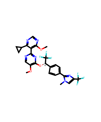 COc1cnc(-c2c(OC)ncnc2C2CC2)nc1O[C@@H](c1ccc(-c2nc(C(F)(F)F)cn2C)cc1)C(F)(F)F